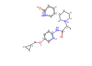 CC(C(=O)Nc1ccc(OCC2CC2)cn1)N1CCC[C@@H](c2ccc(=O)[nH]c2)C1